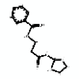 O=C(CCOC(=O)c1ccccc1)OC1OCCS1